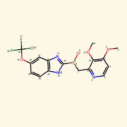 COc1ccnc(C[S+]([O-])c2nc3cc(OC(F)(F)Cl)ccc3[nH]2)c1OC